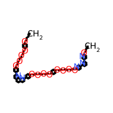 C=CCCCOc1ccc(OCCOCCOCCOc2ccc(-c3ccc4ccc5ccc(-c6ccc(OCCOCCOCCOc7ccc(OCCOCCOCCOc8ccc(-c9cccc(-c%10ccc(OCCC=C)nc%10)n9)cn8)cc7)cc6)nc5c4n3)cc2)cc1